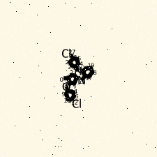 C=c1cc2c(cc1Oc1ccc(Cl)cc1)=Nc1ccccc1N2c1ccc(Cl)cc1